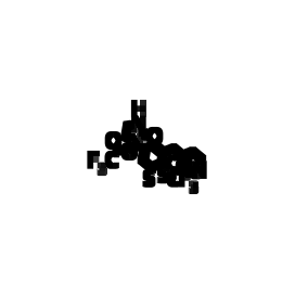 CC1(SC(F)(F)F)C(=S)C=C([N+]2(OC(=O)C(F)(F)F)CCNC2=O)C=C1Cc1ccncc1